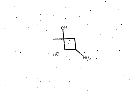 CC1(O)CC(N)C1.Cl